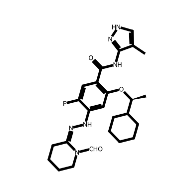 Cc1c[nH]nc1NC(=O)c1cc(F)c(N/N=C2/CCCCN2C=O)cc1O[C@@H](C)C1CCCCC1